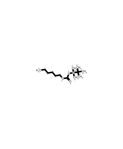 CCCCCCOC(=O)O[Si](C)(C)C(C)(C)C